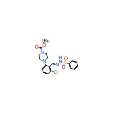 CC(C)(C)OC(=O)N1CCN(c2cccc(Cl)c2/C=N/NS(=O)(=O)c2ccccc2)CC1